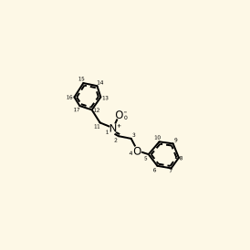 [O-][N+](=CCOc1ccccc1)Cc1ccccc1